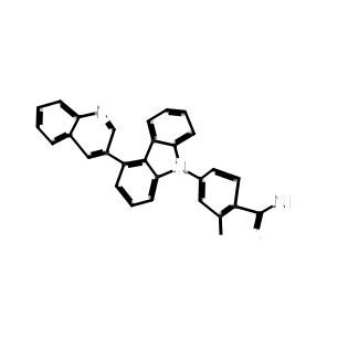 Cc1cc(-n2c3ccccc3c3c(-c4cnc5ccccc5c4)cccc32)ccc1C(N)=O